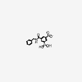 O=C(NCc1ccccc1)c1cc(B(O)O)cc([N+](=O)[O-])c1